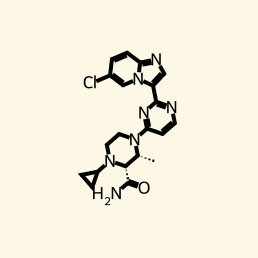 C[C@@H]1[C@H](C(N)=O)N(C2CC2)CCN1c1ccnc(-c2cnc3ccc(Cl)cn23)n1